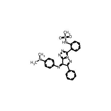 CN(C)c1ccc(/N=C2/C(c3ccccc3)=Nn3c2nnc3-c2ccccc2NS(C)(=O)=O)cc1